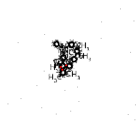 Cc1cc(C)c(-c2ccc3c4ccc(-c5c(C)cc(C)cc5C)cc4n(-c4cc(-c5nc(-c6ccccc6)nc(-c6ccccc6)n5)ccc4-c4ccccc4C(F)(F)F)c3c2)c(C)c1